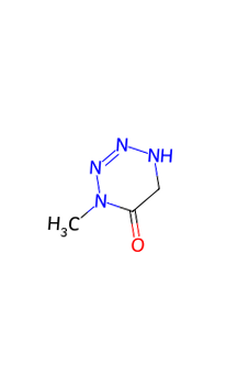 CN1N=NNCC1=O